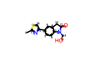 Cc1nc(-c2ccc3c(c2)CC(=O)N3CO)cs1